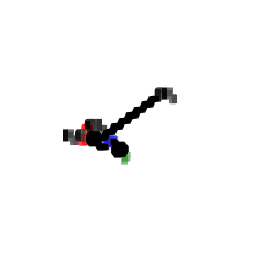 CCCCCCCCCCCCCCCC1=[N+](Cc2ccc(F)cc2)CCc2cc(OC)c(OC)cc21